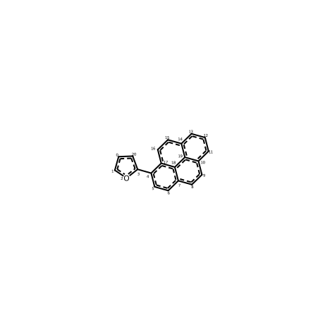 c1coc(-c2ccc3ccc4cccc5ccc2c3c45)c1